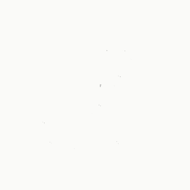 Cc1ncnc2ccc(-c3sc(NC(=O)N4CCC5(CC4)COCCN5C(=O)O)nc3-c3cccc(C#N)c3)cc12